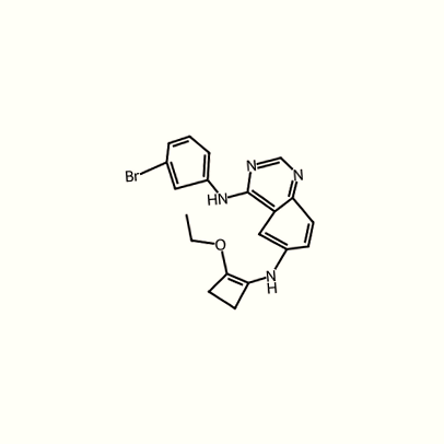 CCOC1=C(Nc2ccc3ncnc(Nc4cccc(Br)c4)c3c2)CC1